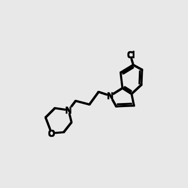 Clc1ccc2ccn(CCCN3CCOCC3)c2c1